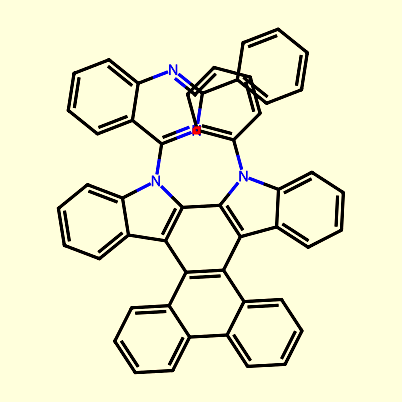 c1ccc(-c2nc(-n3c4ccccc4c4c5c6ccccc6c6ccccc6c5c5c6ccccc6n(-c6ccccc6)c5c43)c3ccccc3n2)cc1